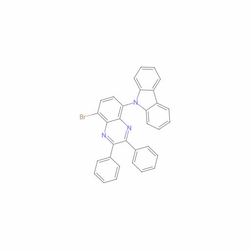 Brc1ccc(-n2c3ccccc3c3ccccc32)c2nc(-c3ccccc3)c(-c3ccccc3)nc12